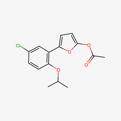 CC(=O)Oc1ccc(-c2cc(Cl)ccc2OC(C)C)o1